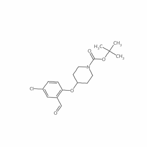 CC(C)(C)OC(=O)N1CCC(Oc2ccc(Cl)cc2C=O)CC1